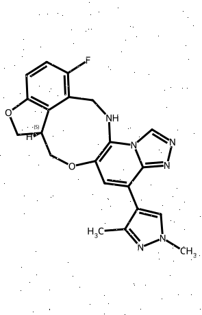 Cc1nn(C)cc1-c1cc2c(n3cnnc13)NCc1c(F)ccc3c1[C@@H](CO3)CO2